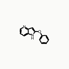 c1ccc(Oc2cc3ncccc3[nH]2)cc1